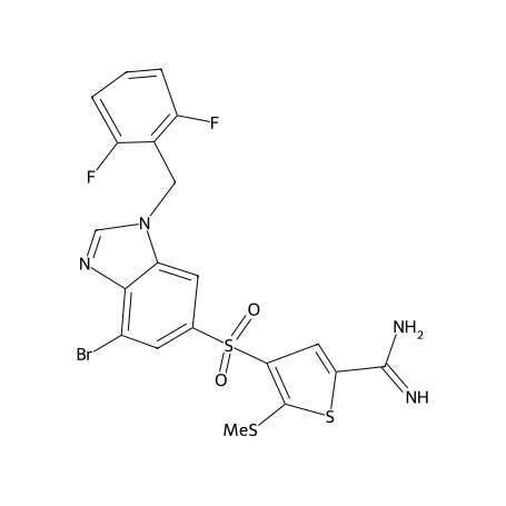 CSc1sc(C(=N)N)cc1S(=O)(=O)c1cc(Br)c2ncn(Cc3c(F)cccc3F)c2c1